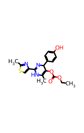 CCOC(=O)OC1=C(C)NC(c2csc(C)n2)=NC1c1ccc(O)cc1